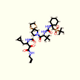 C=CCNC(=O)C(=O)C(CC1CC1)NC(=O)[C@@H]1CC2(CN1C(=O)[C@@H](NC(=O)NC1(CS(=O)(=O)C(C)(C)C)CCCCC1)C(C)(C)C)SCCS2